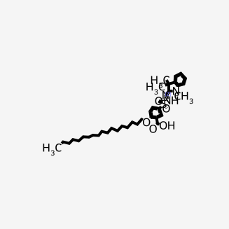 CCCCCCCCCCCCCCCCCCOc1ccc(S(=O)(=O)N/N=C2\N(C)c3ccccc3C2(C)C)cc1C(=O)O